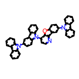 c1ccc2c(c1)c1ccccc1n2-c1ccc2oc3c(-n4c5ccccc5c5cc(-n6c7ccccc7c7ccccc76)ccc54)ccnc3c2c1